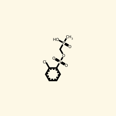 CP(=O)(O)COS(=O)(=O)c1ccccc1Cl